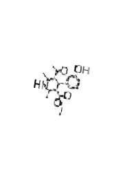 CCOC(=O)C1=C(C)NC(C)=C(C(C)=O)C1c1cccc(O)c1